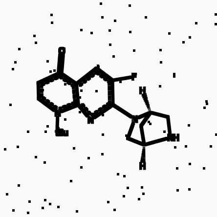 CC(C)(C)n1ccc(=O)c2cc(F)c(N3C[C@H]4C[C@@H]3CN4)nc21